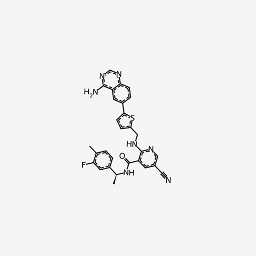 Cc1ccc([C@H](C)NC(=O)c2cc(C#N)cnc2NCc2ccc(-c3ccc4ncnc(N)c4c3)s2)cc1F